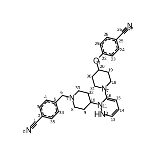 N#Cc1ccc(CN2CCC(N3NC=CC=C3N3CCC(Oc4ccc(C#N)cc4)CC3)CC2)cc1